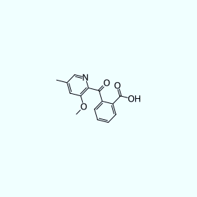 COc1cc(C)cnc1C(=O)c1ccccc1C(=O)O